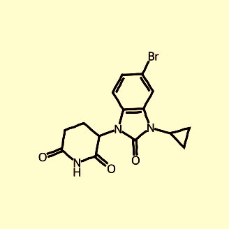 O=C1CCC(n2c(=O)n(C3CC3)c3cc(Br)ccc32)C(=O)N1